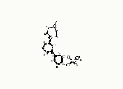 CN1CCN(c2ccnc(-c3cccc(OS(=O)(=O)C(F)(F)F)c3)c2)CC1